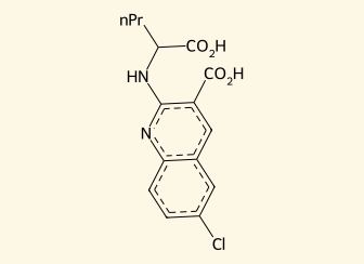 CCCC(Nc1nc2ccc(Cl)cc2cc1C(=O)O)C(=O)O